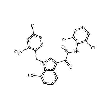 O=C(Nc1c(Cl)cncc1Cl)C(=O)c1cn(Cc2ccc(Cl)cc2[N+](=O)[O-])c2c(O)cccc12